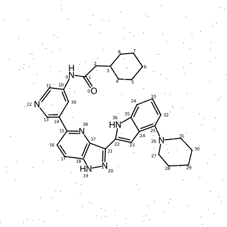 O=C(CC1CCCCC1)Nc1cncc(-c2ccc3[nH]nc(-c4cc5c(N6CCCCC6)cccc5[nH]4)c3n2)c1